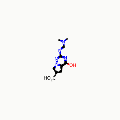 CN(C)/C=N/c1nc(O)c2cc(C(=O)O)cn2n1